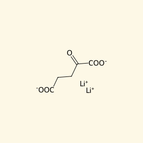 O=C([O-])CCC(=O)C(=O)[O-].[Li+].[Li+]